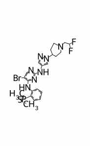 CP(C)(=S)c1ccccc1Nc1nc(Nc2cnn(C3CCN(CC(F)F)CC3)c2)ncc1Br